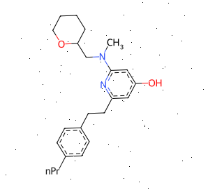 CCCc1ccc(CCc2cc(O)cc(N(C)CC3CCCCO3)n2)cc1